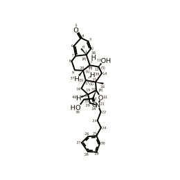 C[C@]12C=CC(=O)C=C1CC[C@@H]1[C@@H]2[C@@H](O)C[C@@]2(C)[C@H]1C[C@H]1CN(CCCc3ccccc3)O[C@]12C(=O)CO